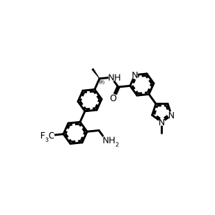 C[C@@H](NC(=O)c1cc(-c2cnn(C)c2)ccn1)c1ccc(-c2cc(C(F)(F)F)ccc2CN)cc1